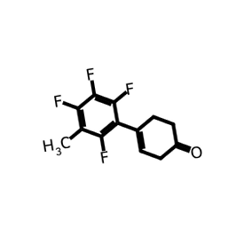 Cc1c(F)c(F)c(F)c(C2=CCC(=O)CC2)c1F